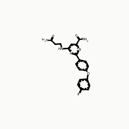 NC(=O)CCNc1cc(C(N)=O)nc(-c2ccc(Oc3ccc(F)cc3)cc2)n1